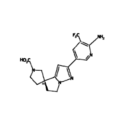 Nc1ncc(-c2cc3n(n2)CC[C@]32CCN(C(=O)O)C2)cc1C(F)(F)F